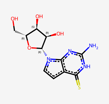 Nc1nc2c(ccn2[C@@H]2O[C@H](CO)[C@@H](O)[C@H]2O)c(=S)[nH]1